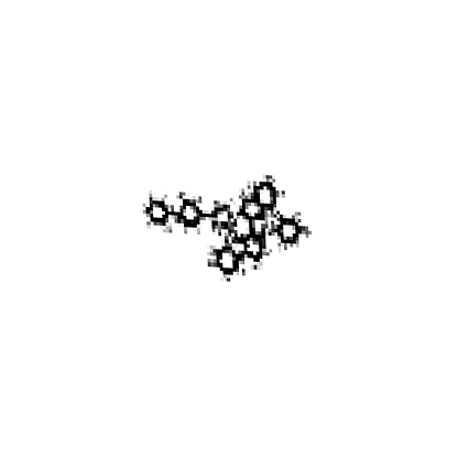 c1ccc(-c2ccc(-c3ccnc(-n4c5ccccc5c5ccc6c(c7ccc8ccccc8c7n6-c6ccccc6)c54)n3)cc2)cc1